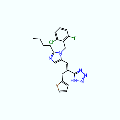 CCCCc1ncc(/C=C(\Cc2cccs2)c2nnn[nH]2)n1Cc1c(F)cccc1Cl